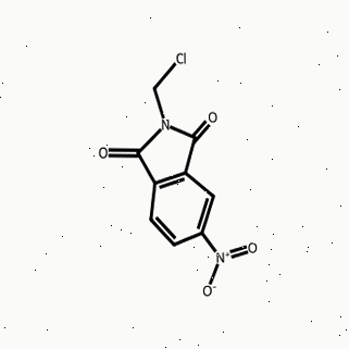 O=C1c2ccc([N+](=O)[O-])cc2C(=O)N1CCl